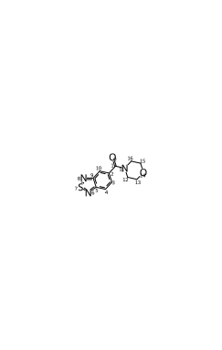 O=C(c1ccc2nsnc2c1)N1CCOCC1